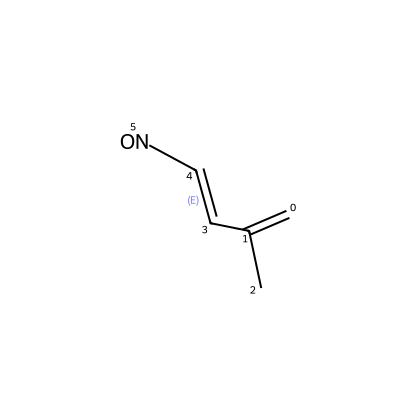 C=C(C)/C=C/N=O